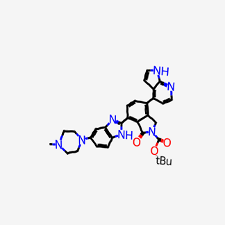 CN1CCN(c2ccc3[nH]c(-c4ccc(-c5ccnc6[nH]ccc56)c5c4C(=O)N(C(=O)OC(C)(C)C)C5)nc3c2)CC1